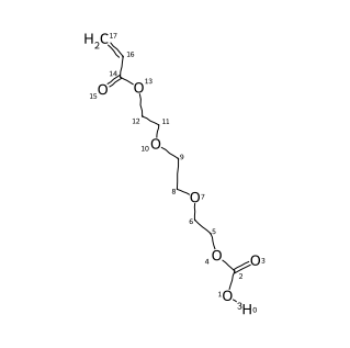 [3H]OC(=O)OCCOCCOCCOC(=O)C=C